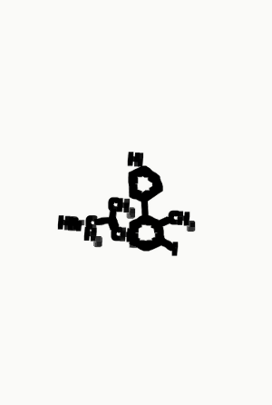 Br.C=C(C)C.Cc1c(I)cccc1-c1ccccc1.I